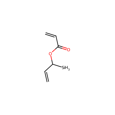 C=CC(=O)OC([SiH3])C=C